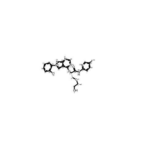 C[C@H](CO)OC[C@H](Oc1ncnc2nn(-c3ccccc3Cl)cc12)C(=O)Nc1ccc(F)cn1